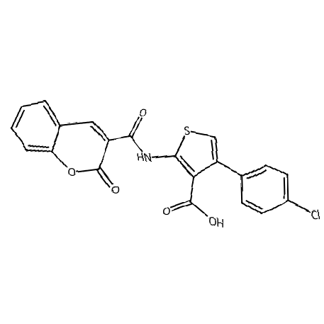 O=C(O)c1c(-c2ccc(Cl)cc2)csc1NC(=O)c1cc2ccccc2oc1=O